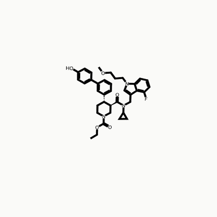 CCOC(=O)N1CC[C@H](c2cccc(-c3ccc(O)cc3)c2)[C@@H](C(=O)N(Cc2cn(CCCOC)c3cccc(F)c23)C2CC2)C1